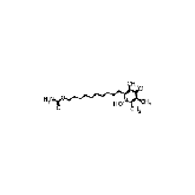 Cc1c(C)n(O)c(CCCCCCCCCCOC(N)=O)c(C)c1=O